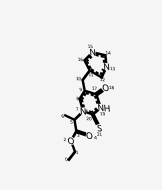 CCOC(=O)C(C)n1cc(Cc2cncnc2)c(=O)[nH]c1=S